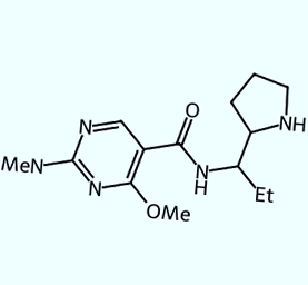 CCC(NC(=O)c1cnc(NC)nc1OC)C1CCCN1